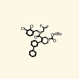 CC(C)(C)OC(=O)N1CCC(c2cccc(-c3ccccc3)c2)=C(C(=O)N(Cc2cccc(Cl)c2Cl)CC(F)F)C1